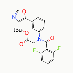 CC(C)(C)OC(=O)CN(C(=O)c1c(F)cccc1F)c1cccc(-c2cnco2)c1